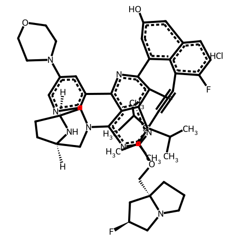 CC(C)[Si](C#Cc1c(F)ccc2cc(O)cc(-c3nc(-c4cncc(N5CCOCC5)c4)c4c(N5C[C@H]6CC[C@@H](C5)N6)nc(OC[C@]56CCCN5C[C@@H](F)C6)nc4c3F)c12)(C(C)C)C(C)C.Cl